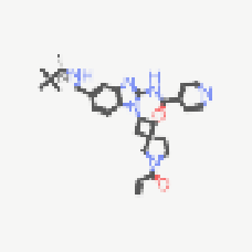 C=CC(=O)N1CC[C@]2(C1)C[C@H](n1c(NC(=O)c3ccncc3)nc3cc(CN[C@@H](C)C(C)(C)C)ccc31)C2